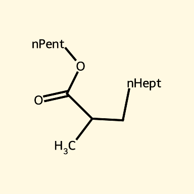 CCCCCCCCC(C)C(=O)OCCCCC